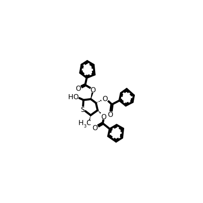 C[C@@H]1SC(O)[C@@H](OC(=O)c2ccccc2)[C@H](OC(=O)c2ccccc2)[C@@H]1OC(=O)c1ccccc1